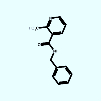 O=C(NCc1ccccc1)c1cccnc1C(=O)O